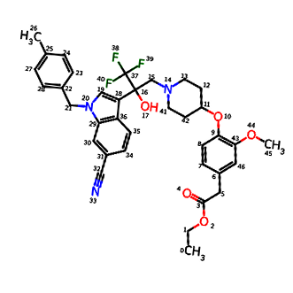 CCOC(=O)Cc1ccc(OC2CCN(CC(O)(c3cn(Cc4ccc(C)cc4)c4cc(C#N)ccc34)C(F)(F)F)CC2)c(OC)c1